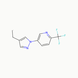 [CH2]Cc1cnn(-c2ccc(C(F)(F)F)nc2)c1